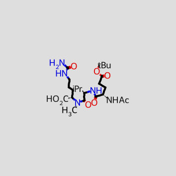 CC(=O)N[C@@H](CCC(=O)OC(C)(C)C)C(=O)N[C@H](C(=O)N(C)[C@@H](CCCNC(N)=O)C(=O)O)C(C)C